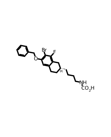 O=C(O)NCCCC[C@@H]1CCc2cc(OCc3ccccc3)c(Br)c(F)c2C1